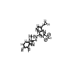 CS(=O)(=O)c1nc(NCc2nc3c(F)c(F)ccc3[nH]2)n2ncc(C3CC3)c2n1